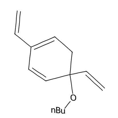 C=CC1=CCC(C=C)(OCCCC)C=C1